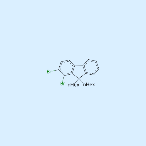 CCCCCCC1(CCCCCC)c2ccccc2-c2ccc(Br)c(Br)c21